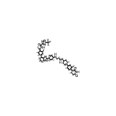 Cc1cc(-c2ncnc3[nH]c(-c4ccc(NCCNCC5CCN(c6ccc(N7CCC(=O)NC7=O)c(C)c6)CC5)cn4)nc23)ccc1[C@@H](C)NC(=O)c1noc(C(C)(C)C)n1